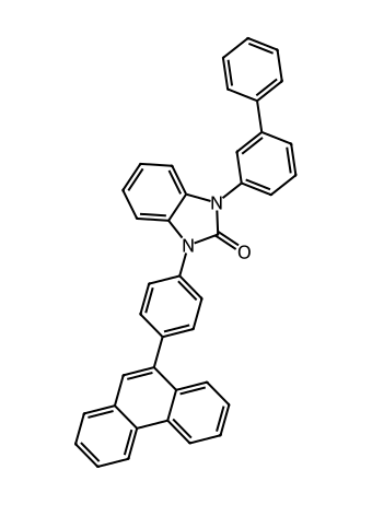 O=c1n(-c2ccc(-c3cc4ccccc4c4ccccc34)cc2)c2ccccc2n1-c1cccc(-c2ccccc2)c1